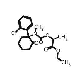 CCOC(=O)[C@H](C)OC(=O)N(C)[C@]1(c2ccccc2Cl)CCCCC1=O